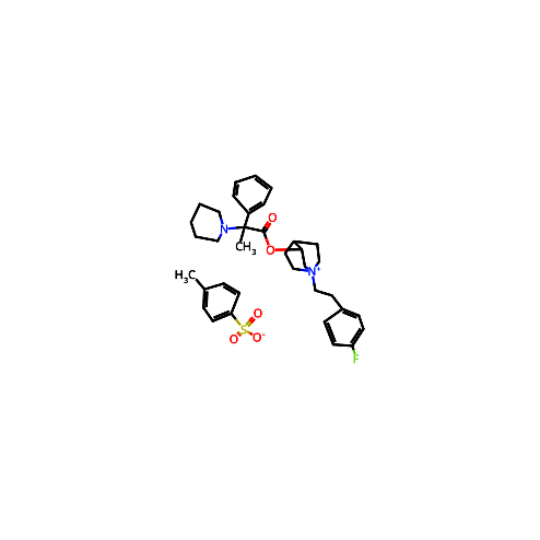 CC(C(=O)OC1C[N+]2(CCc3ccc(F)cc3)CCC1CC2)(c1ccccc1)N1CCCCC1.Cc1ccc(S(=O)(=O)[O-])cc1